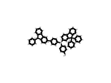 Fc1ccc(N(c2ccc(-c3ccc4c(c3)-c3ccccc3C4c3ccccc3)cc2)c2ccc3c(c2)C(c2ccccc2)(c2ccccc2)c2ccccc2-3)cc1